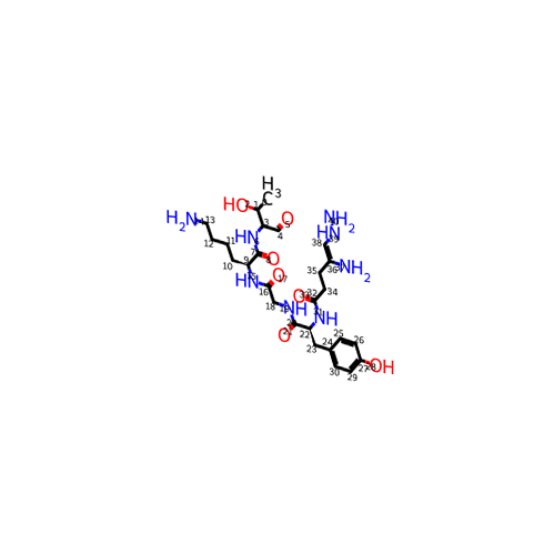 CC(O)C(C=O)NC(=O)[C@H](CCCCN)NC(=O)CNC(=O)[C@H](Cc1ccc(O)cc1)NC(=O)CC/C(N)=C/NN